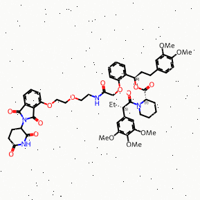 CC[C@H](C(=O)N1CCCC[C@H]1C(=O)O[C@H](CCc1ccc(OC)c(OC)c1)c1ccccc1OCC(=O)NCCOCCOc1cccc2c1C(=O)N(C1CCC(=O)NC1=O)C2=O)c1cc(OC)c(OC)c(OC)c1